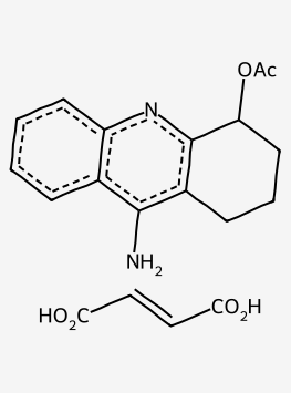 CC(=O)OC1CCCc2c1nc1ccccc1c2N.O=C(O)/C=C/C(=O)O